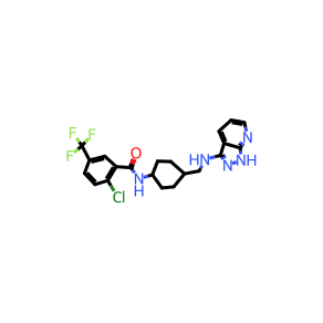 O=C(NC1CCC(CNc2n[nH]c3ncccc23)CC1)c1cc(C(F)(F)F)ccc1Cl